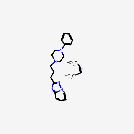 O=C(O)/C=C\C(=O)O.c1ccc(N2CCN(CCCc3nc4ccccn4n3)CC2)cc1